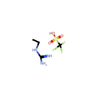 CCNC(=N)N.O=S(=O)(O)C(F)(F)F